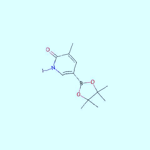 Cc1cc(B2OC(C)(C)C(C)(C)O2)cn(I)c1=O